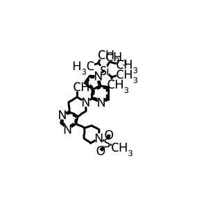 CC1Cc2ncnc(C3CCN(S(C)(=O)=O)CC3)c2CN1c1nccc2c1ccn2[Si](C(C)C)(C(C)C)C(C)C